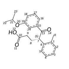 Cc1ccccc1[C@H](CCC(=O)O)C(=O)c1cccc(OC(C)C)c1